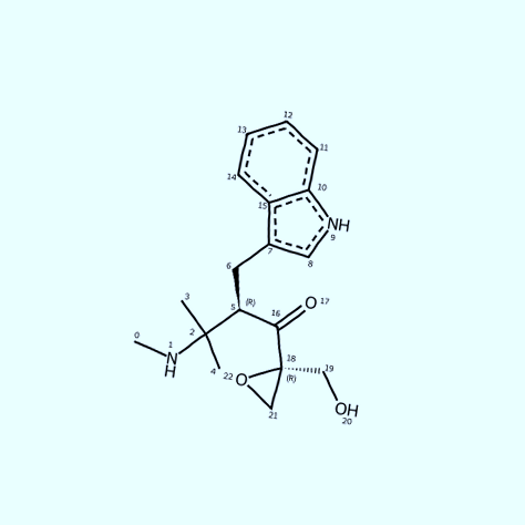 CNC(C)(C)[C@@H](Cc1c[nH]c2ccccc12)C(=O)[C@@]1(CO)CO1